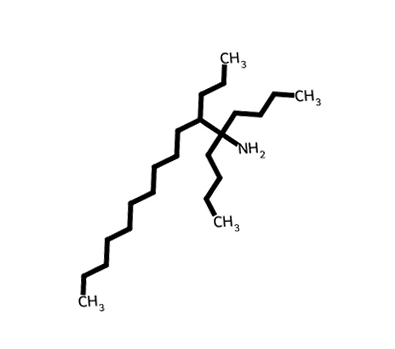 CCCCCCCCCCC(CCC)C(N)(CCCC)CCCC